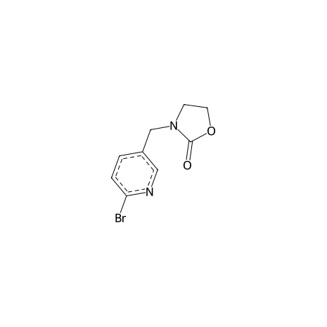 O=C1OCCN1Cc1ccc(Br)nc1